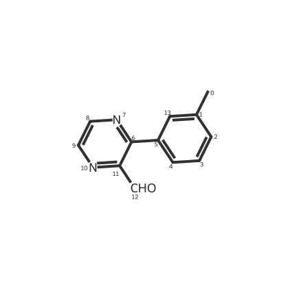 Cc1cccc(-c2nccnc2C=O)c1